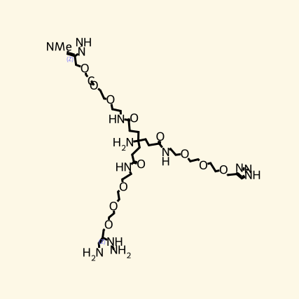 CN/C=C(/COCCOCCOCCNC(=O)CCC(N)(CCC(=O)NCCOCCOCCOC/C(=C/N)NN)CCC(=O)NCCOCCOCCOCc1c[nH]nn1)N=N